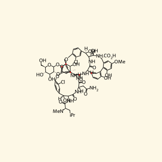 CN[C@H](CC(C)C)C(=O)NC1C(=O)N[C@@H](CC(N)=O)C(=O)N[C@H]2C(=O)N[C@H]3C(=O)N[C@@H]([C@H](O)c4ccc(c(Cl)c4)Oc4cc2cc(c4OC2O[C@H](CO)[C@@H](O)[C@H](O)[C@H]2O[C@H]2C[C@](C)(N)[C@H](O)[C@H](C)O2)Oc2ccc(cc2Cl)[C@H]1O)[C@@H](O)N[C@H](C(=O)O)c1cc(OC)cc(O)c1-c1cc3ccc1O